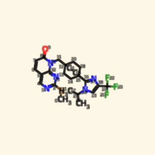 CSc1ncc2ccc(=O)n(CC34CCC(c5nc(C(F)(F)F)cn5C(C)C)(CC3)CC4)c2n1